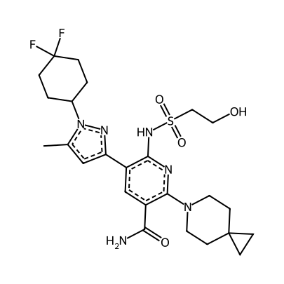 Cc1cc(-c2cc(C(N)=O)c(N3CCC4(CC3)CC4)nc2NS(=O)(=O)CCO)nn1C1CCC(F)(F)CC1